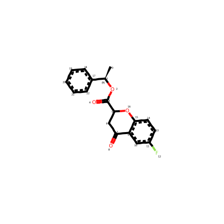 C[C@@H](OC(=O)C1CC(=O)c2cc(F)ccc2O1)c1ccccc1